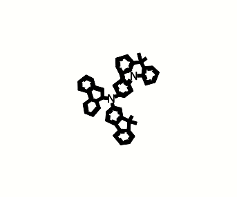 CC1(C)c2ccccc2-c2ccc(N(c3ccc4c(c3)c3cccc5c3n4-c3ccccc3C5(C)C)C3C=c4ccccc4=C4C=CC=CC43)cc21